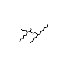 CCCCCCC(CCCC)COC(=O)C(CCC)CCCCC